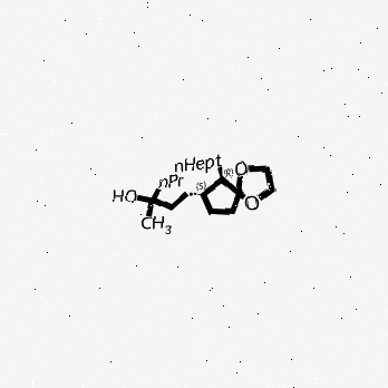 CCCCCCC[C@@H]1[C@@H](CCC(C)(O)CCC)CCC12OCCO2